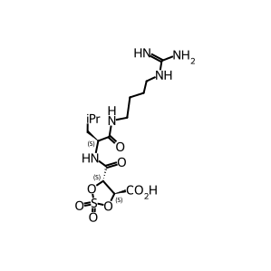 CC(C)C[C@H](NC(=O)[C@H]1OS(=O)(=O)O[C@@H]1C(=O)O)C(=O)NCCCCNC(=N)N